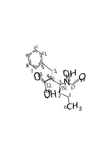 CCC[C@@H]([C@@H](Cc1ccccc1)C(=O)O)N(O)C=O